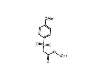 CCCCCCCCOC(=O)CS(=O)(=O)c1ccc(OC)cc1